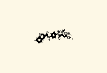 CC(C)CC(C(=O)Nc1ccc(NC(=O)c2cnc3ccccc3c2)cc1)P(=O)(O)O